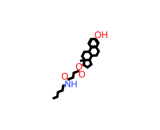 CCCCCNC(=O)CCC(=O)OC1CCC2C3CCc4cc(O)ccc4C3CCC12C